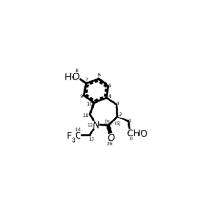 O=CC[C@@H]1Cc2ccc(O)cc2CN(CC(F)(F)F)C1=O